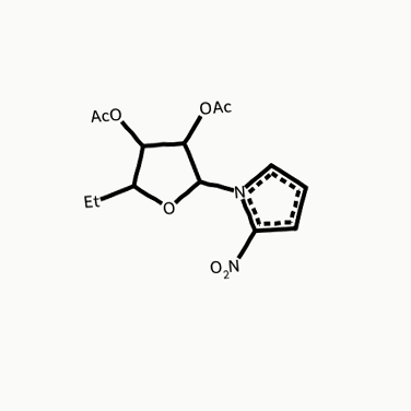 CCC1OC(n2cccc2[N+](=O)[O-])C(OC(C)=O)C1OC(C)=O